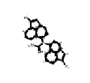 N=C(N)N(c1ccc2c3c(cccc13)C(Br)=C2)c1ccc2c3c(cccc13)C(Br)=C2